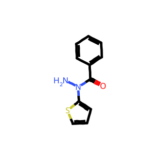 NN(C(=O)c1ccccc1)c1cccs1